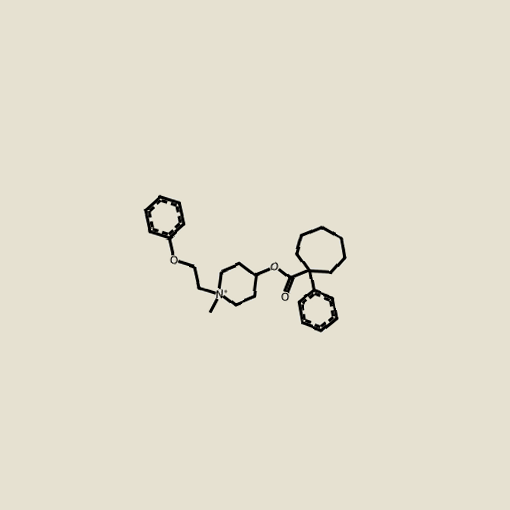 C[N+]1(CCOc2ccccc2)CCC(OC(=O)C2(c3ccccc3)CCCCCC2)CC1